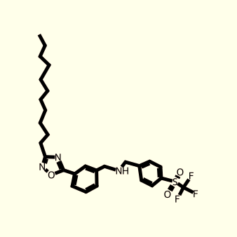 CCCCCCCCCCCc1noc(-c2cccc(CNCc3ccc(S(=O)(=O)C(F)(F)F)cc3)c2)n1